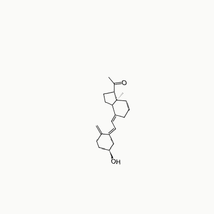 C=C1CC[C@H](O)C/C1=C/C=C1\CCC[C@]2(C)C(C(C)=O)CCC12